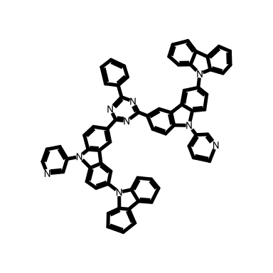 c1ccc(-c2nc(-c3ccc4c(c3)c3cc(-n5c6ccccc6c6ccccc65)ccc3n4-c3cccnc3)nc(-c3ccc4c(c3)c3cc(-n5c6ccccc6c6ccccc65)ccc3n4-c3cccnc3)n2)cc1